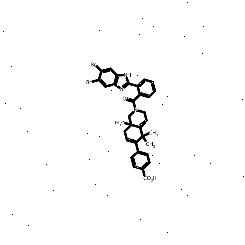 CC12CC=C(c3ccc(C(=O)O)cc3)C(C)(C)C1=CCN(C(=O)c1ccccc1-c1nc3cc(Br)c(Br)cc3[nH]1)C2